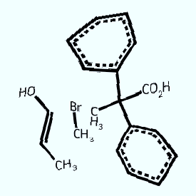 CBr.CC(C(=O)O)(c1ccccc1)c1ccccc1.CC=CO